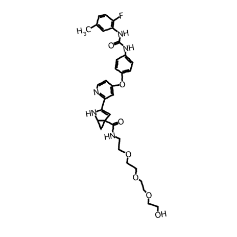 Cc1ccc(F)c(NC(=O)Nc2ccc(Oc3ccnc(C4=CC5(C(=O)NCCOCCOCCOCCO)CC5N4)c3)cc2)c1